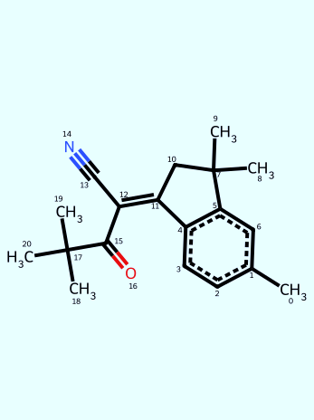 Cc1ccc2c(c1)C(C)(C)CC2=C(C#N)C(=O)C(C)(C)C